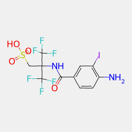 Nc1ccc(C(=O)NC(CS(=O)(=O)O)(C(F)(F)F)C(F)(F)F)cc1I